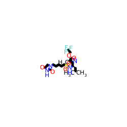 Cc1c([C@@H](CC(C)C)NS(=O)(=O)CCCCCN2CC(=O)NC2=O)noc1OCC(F)(F)F